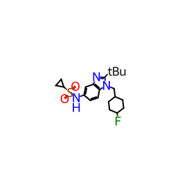 CC(C)(C)c1nc2cc(NS(=O)(=O)C3CC3)ccc2n1CC1CCC(F)CC1